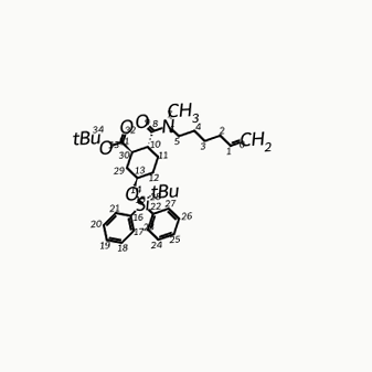 C=CCCCCN(C)C(=O)[C@@H]1CC[C@@H](O[Si](c2ccccc2)(c2ccccc2)C(C)(C)C)C[C@H]1C(=O)OC(C)(C)C